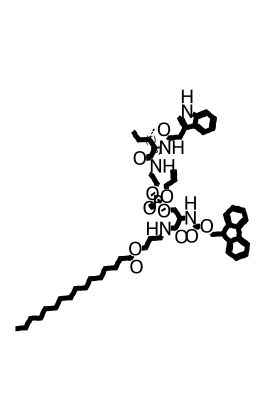 C=CCOP(=O)(OCCNC(=O)[C@@H](NC(=O)Cc1c[nH]c2ccccc12)[C@@H](C)CC)OCC(NC(=O)OCC1c2ccccc2-c2ccccc21)C(=O)NCCCOC(=O)CCCCCCCCCCCCCCC